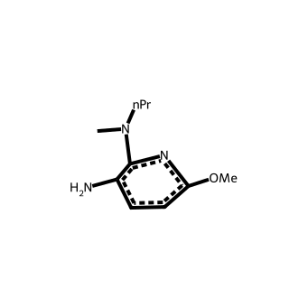 CCCN(C)c1nc(OC)ccc1N